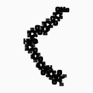 COc1cccc(OC(=O)c2ccc3cc(OC(=O)c4cccc(C(=O)Nc5cccc(Oc6cccc(Oc7cccc(NC(=O)c8ccc(N9C(=O)C(C)=C(C)C9=O)cc8)c7)c6)c5)c4)ccc3c2)c1